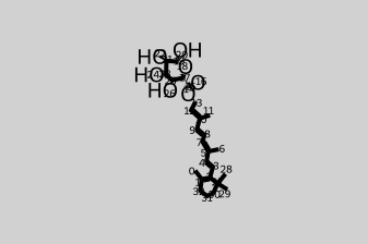 CC1=C(/C=C/C(C)=C/C=C/C(C)=C/COC(=O)[C@H]2O[C@@H](O)[C@H](O)[C@@H](O)[C@@H]2O)C(C)(C)CCC1